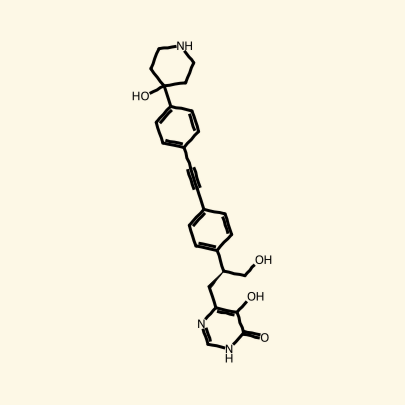 O=c1[nH]cnc(C[C@H](CO)c2ccc(C#Cc3ccc(C4(O)CCNCC4)cc3)cc2)c1O